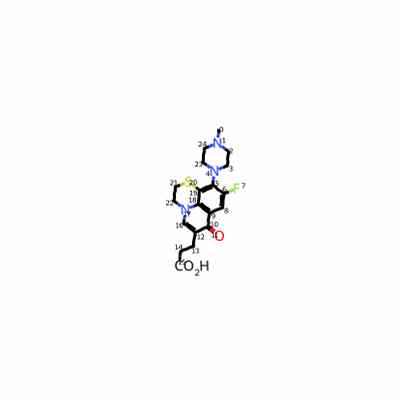 CN1CCN(c2c(F)cc3c(=O)c(CCC(=O)O)cn4c3c2SCC4)CC1